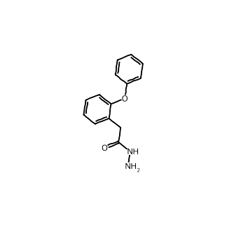 NNC(=O)Cc1ccccc1Oc1ccccc1